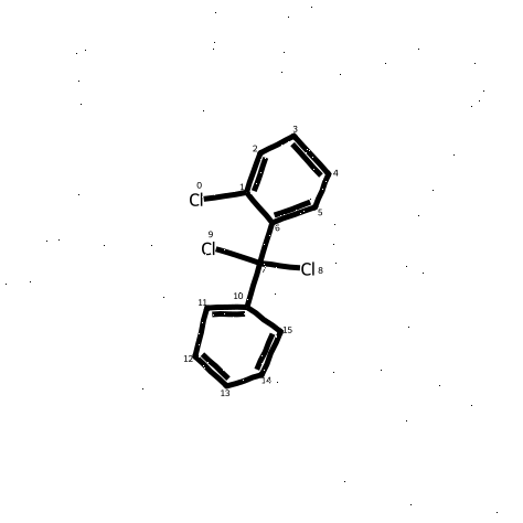 Clc1ccccc1C(Cl)(Cl)c1ccccc1